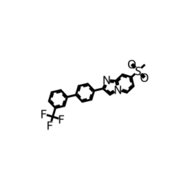 CS(=O)(=O)c1ccn2cc(-c3ccc(-c4cccc(C(F)(F)F)c4)cc3)nc2c1